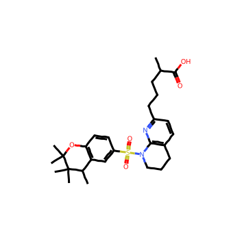 CC(CCCc1ccc2c(n1)N(S(=O)(=O)c1ccc3c(c1)C(C)C(C)(C)C(C)(C)O3)CCC2)C(=O)O